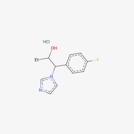 CCC(O)C(c1ccc(F)cc1)n1ccnc1.Cl